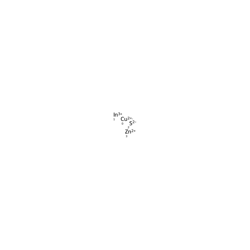 [Cu+2].[In+3].[S-2].[Zn+2]